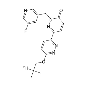 [2H]C(C)(C)COc1ccc(-c2ccc(=O)n(Cc3cncc(F)c3)n2)nn1